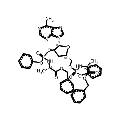 C[C@H](NP(=O)(OC[C@@H]1CC(OP(=O)(N[C@@H](C)C(=O)OCc2ccccc2)Oc2ccccc2)[C@H](n2cnc3c(N)ncnc32)O1)Oc1ccccc1)C(=O)OCc1ccccc1